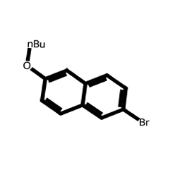 CCCCOc1[c]c2ccc(Br)cc2cc1